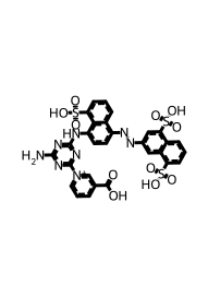 Nc1nc(Nc2ccc(N=Nc3cc(S(=O)(=O)O)c4cccc(S(=O)(=O)O)c4c3)c3cccc(S(=O)(=O)O)c23)nc(-[n+]2cccc(C(=O)O)c2)n1